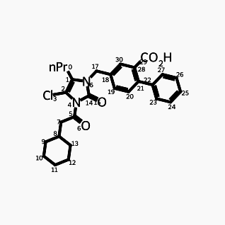 CCCc1c(Cl)n(C(=O)CC2CCCCC2)c(=O)n1Cc1ccc(-c2ccccc2)c(C(=O)O)c1